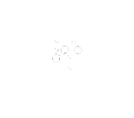 Cc1c(-c2ccccc2)c(N2CC[C@H](N(C)CCO)C2)n2c(nc3ccccc32)c1C#N